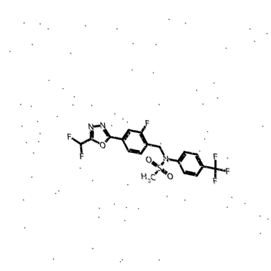 CS(=O)(=O)N(Cc1ccc(-c2nnc(C(F)F)o2)cc1F)c1ccc(C(F)(F)F)cc1